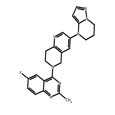 Cc1nc(N2CCc3ncc(N4CCCn5nccc54)cc3C2)c2cc(F)ccc2n1